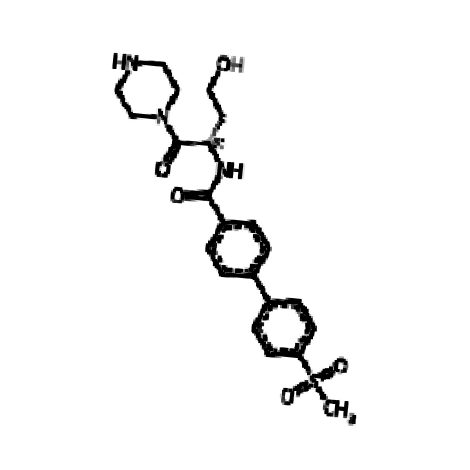 CS(=O)(=O)c1ccc(-c2ccc(C(=O)N[C@@H](CCO)C(=O)N3CCNCC3)cc2)cc1